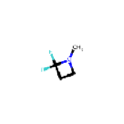 CN1CCC1(F)F